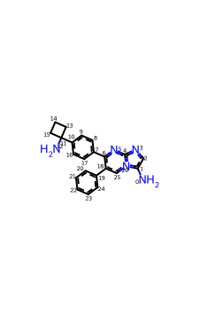 Nc1cnc2nc(-c3ccc(C4(N)CCC4)cc3)c(-c3ccccc3)cn12